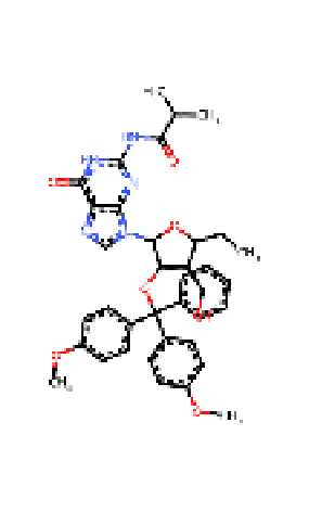 CCC1OC(n2cnc3c(=O)[nH]c(NC(=O)C(C)C)nc32)C(OC(c2ccccc2)(c2ccc(OC)cc2)c2ccc(OC)cc2)C1CO